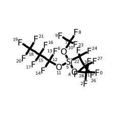 FC(F)(F)O[Si](OC(F)(F)F)(OC(F)(F)C(F)(F)C(F)(F)F)C(F)(F)C(F)(F)F